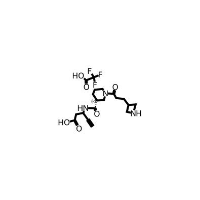 C#CC(CC(=O)O)NC(=O)[C@@H]1CCCN(C(=O)CCC2CNC2)C1.O=C(O)C(F)(F)F